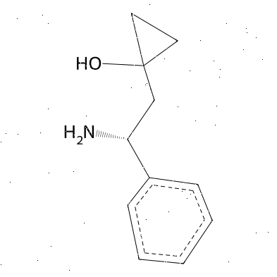 N[C@H](CC1(O)CC1)c1ccccc1